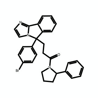 O=C(CCC1(c2ccc(Br)cc2)c2ccccc2-c2nccn21)N1CCCC1c1ccccc1